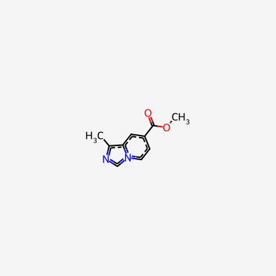 COC(=O)c1ccn2cnc(C)c2c1